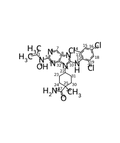 CC(C)N(O)c1ncc2nc(Nc3c(Cl)cc(Cl)cc3Cl)n(C3CCC(C)(C(N)=O)CC3)c2n1